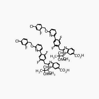 COC(C)(C)C(C)n1c(Cc2cc(F)c(-c3cccc(OCc4ccc(Cl)cc4F)n3)cc2F)nc2ccc(C(=O)O)cc21.COC(C)(C)C(C)n1c(Cc2cc(F)c(-c3cccc(OCc4ccc(Cl)cc4F)n3)cc2F)nc2ccc(C(=O)O)cc21